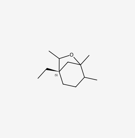 CC[C@]12CCC(C)C(C)(C1)OC2C